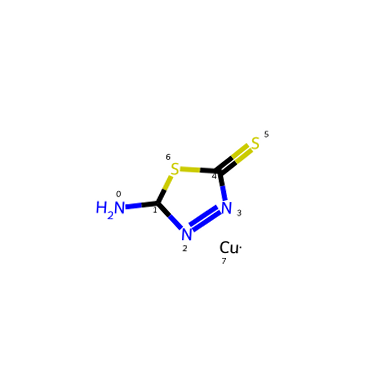 NC1N=NC(=S)S1.[Cu]